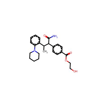 CC(c1ccccc1N1CCCCC1)C(C(N)=O)c1ccc(C(=O)OCCO)cc1